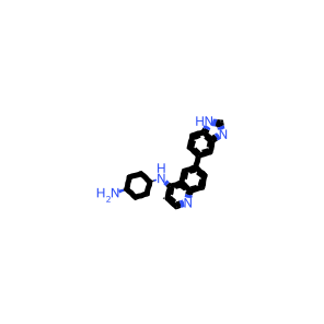 N[C@H]1CC[C@H](Nc2[c]cnc3ccc(-c4ccc5[nH]cnc5c4)cc23)CC1